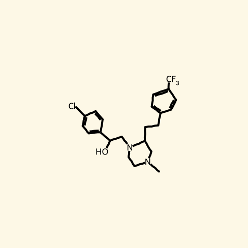 CN1CCN(CC(O)c2ccc(Cl)cc2)C(CCc2ccc(C(F)(F)F)cc2)C1